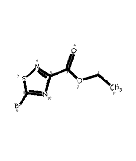 CCOC(=O)c1nsc(Br)n1